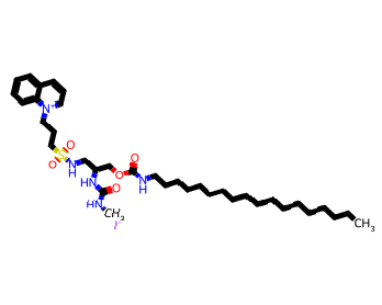 CCCCCCCCCCCCCCCCCCNC(=O)OCC(CNS(=O)(=O)CCC[n+]1cccc2ccccc21)NC(=O)NC.[I-]